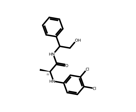 C[C@H](Nc1ccc(Cl)c(Cl)c1)C(=O)NC(CO)c1ccccc1